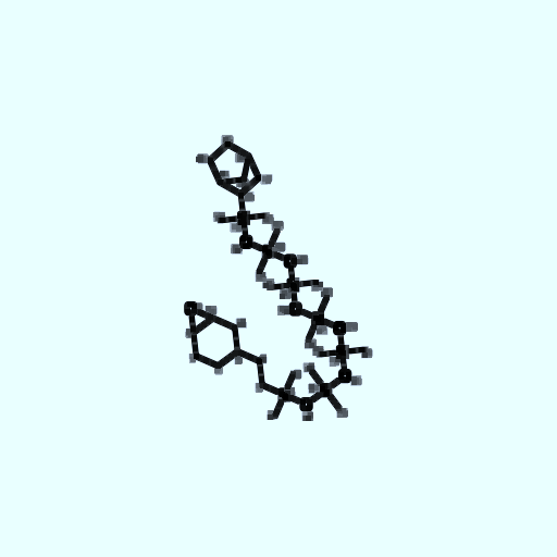 C[Si](C)(CCC1CCC2OC2C1)O[Si](C)(C)O[Si](C)(C)O[Si](C)(C)O[Si](C)(C)O[Si](C)(C)O[Si](C)(C)C1CC2CCC1C2